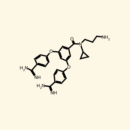 N=C(N)c1ccc(Oc2cc(Oc3ccc(C(=N)N)cc3)cc(C(=O)N(CCCN)C3CC3)c2)cc1